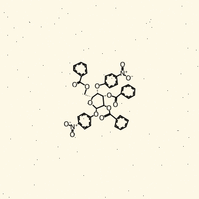 O=C(OC[C@H]1O[C@H](Oc2ccc([N+](=O)[O-])cc2)[C@H](OC(=O)c2ccccc2)[C@@H](OC(=O)c2ccccc2)[C@H]1Oc1ccc([N+](=O)[O-])cc1)c1ccccc1